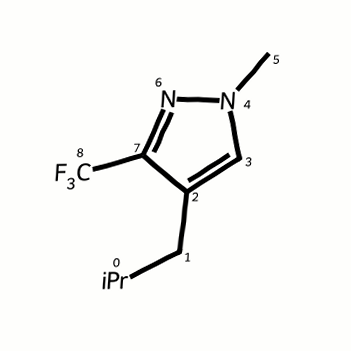 CC(C)Cc1cn(C)nc1C(F)(F)F